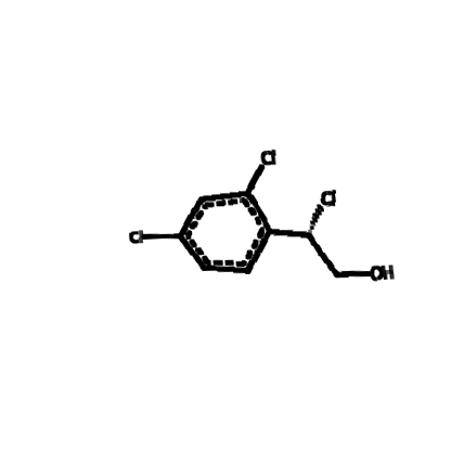 OC[C@@H](Cl)c1ccc(Cl)cc1Cl